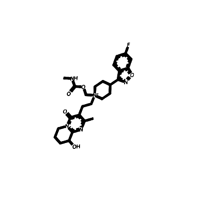 CNC(=O)OC[N+]1(CCc2c(C)nc3n(c2=O)CCCC3O)CCC(c2noc3cc(F)ccc23)CC1